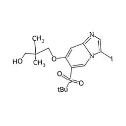 CC(C)(CO)COc1cc2ncc(I)n2cc1S(=O)(=O)C(C)(C)C